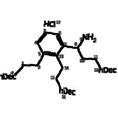 CCCCCCCCCCCCc1cccc(C(N)CCCCCCCCCCCC)c1CCCCCCCCCCCC.Cl